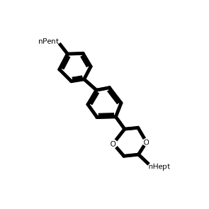 CCCCCCCC1COC(c2ccc(-c3ccc(CCCCC)cc3)cc2)CO1